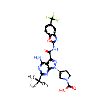 CC(C)(C)c1nc(N)c2c(C(=O)Nc3nc4cc(C(F)(F)F)ccc4o3)nn([C@@H]3CCN(C(=O)O)C3)c2n1